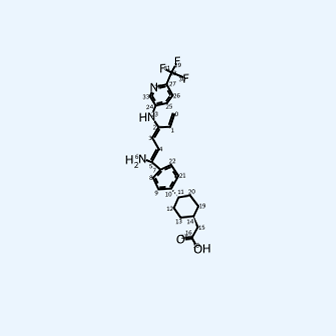 C=C/C(=C\C=C(/N)c1ccc([C@H]2CC[C@H](CC(=O)O)CC2)cc1)Nc1ccc(C(F)(F)F)nc1